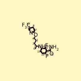 CC(CCCOc1ccc(C(F)(F)F)cn1)Nc1ccc(F)c(C(N)=O)c1F